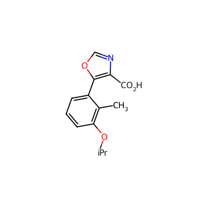 Cc1c(OC(C)C)cccc1-c1ocnc1C(=O)O